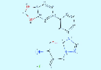 NC/C(=C\F)Cn1ncn(-c2cccc(-c3ccc4c(c3)OCO4)c2)c1=O